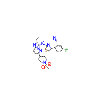 CCc1nc2ccc(C3CCN(S(C)(=O)=O)CC3)nn2c1N(C)c1nc(-c2ccc(F)cc2C#N)cs1